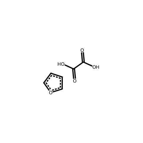 O=C(O)C(=O)O.c1ccoc1